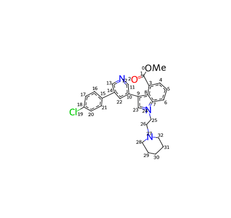 COC(=O)c1cccc2c1c(-c1cncc(-c3ccc(Cl)cc3)c1)cn2CCN1CCCCC1